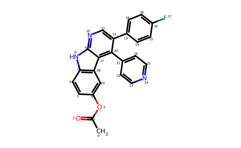 CC(=O)Oc1ccc2[nH]c3ncc(-c4ccc(F)cc4)c(-c4ccncc4)c3c2c1